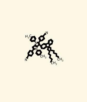 CCCCCCCCC1(CCCCCCCC)c2ccccc2-c2cc(-c3c(-c4ccc(C#N)cc4)n(-c4ccc(C)cc4)c4cc(-c5ccc(C#N)cc5)n(-c5ccc(C)cc5)c34)ccc21